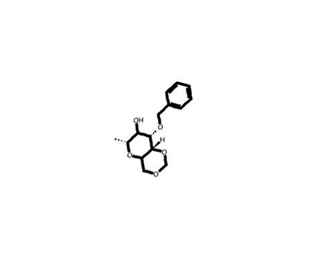 C[C@H]1OC2COCO[C@H]2[C@@H](OCc2ccccc2)C1O